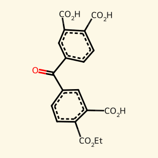 CCOC(=O)c1ccc(C(=O)c2ccc(C(=O)O)c(C(=O)O)c2)cc1C(=O)O